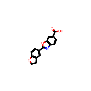 O=C(O)c1ccc2nc(-c3ccc4c(c3)CCO4)oc2c1